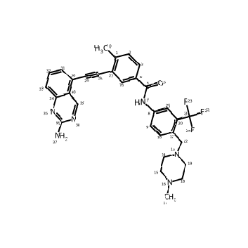 Cc1ccc(C(=O)Nc2ccc(CN3CCN(C)CC3)c(C(F)(F)F)c2)cc1C#Cc1cccc2nc(N)ncc12